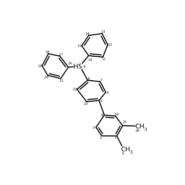 Cc1ccc(-c2ccc([SH](c3ccccc3)c3ccccc3)cc2)cc1C